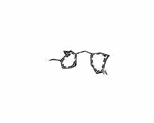 [CH2]c1ccc(Cc2ccncc2)cc1